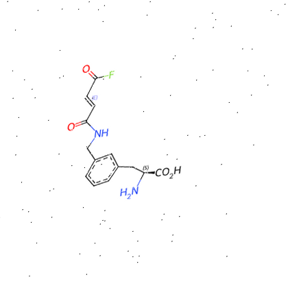 N[C@@H](Cc1cccc(CNC(=O)/C=C/C(=O)F)c1)C(=O)O